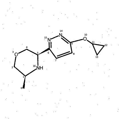 C[C@H]1COC[C@@H](c2ccc(OC3CC3)nn2)N1